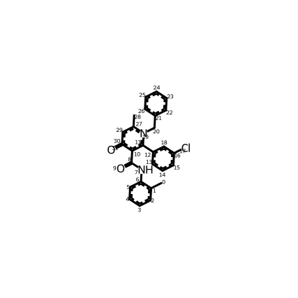 Cc1ccccc1NC(=O)c1c(-c2cccc(Cl)c2)n(Cc2ccccc2)c(C)cc1=O